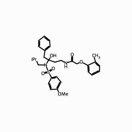 COc1ccc(S(=O)(=O)N(CC(C)C)C(O)(CCNC(=O)COc2ccccc2C)Cc2ccccc2)cc1